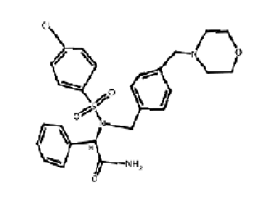 NC(=O)[C@@H](c1ccccc1)N(Cc1ccc(CN2CCOCC2)cc1)S(=O)(=O)c1ccc(Cl)cc1